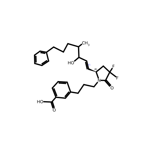 CC(CCCc1ccccc1)C(O)/C=C/[C@H]1CC(F)(F)C(=O)N1CCCc1cccc(C(=O)O)c1